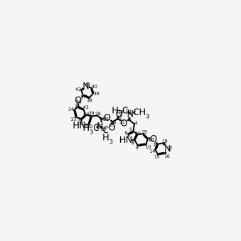 CN(C)C(Cc1c[nH]c2ccc(Oc3cccnc3)cc12)OC(=O)C(=O)OC(Cc1c[nH]c2ccc(Oc3cccnc3)cc12)N(C)C